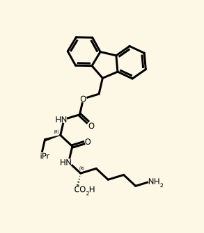 CC(C)C[C@@H](NC(=O)OCC1c2ccccc2-c2ccccc21)C(=O)N[C@H](CCCCN)C(=O)O